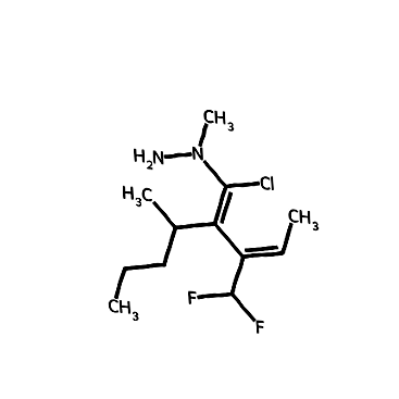 C/C=C(\C(=C(Cl)N(C)N)C(C)CCC)C(F)F